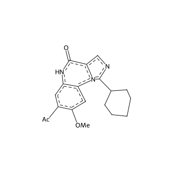 COc1cc2c(cc1C(C)=O)[nH]c(=O)c1cnc(C3CCCCC3)n12